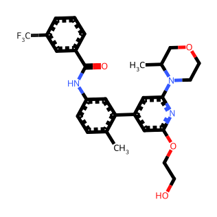 Cc1ccc(NC(=O)c2cccc(C(F)(F)F)c2)cc1-c1cc(OCCO)nc(N2CCOCC2C)c1